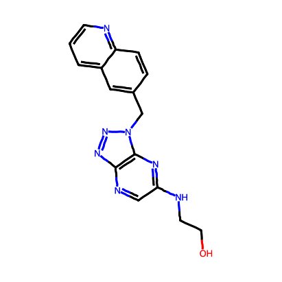 OCCNc1cnc2nnn(Cc3ccc4ncccc4c3)c2n1